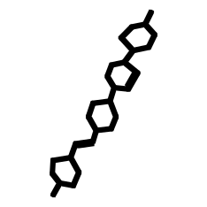 CC1CCC(/C=C/C2CCC(C3C=CC(C4CCC(C)CC4)CC3)CC2)CC1